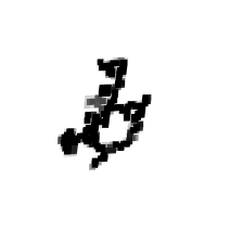 CCCN1CCCCOc2cc(F)cc(c2)CC(C(O)CNCc2cccc(CC)c2)NC(=O)c2cc(cc(-c3ncco3)c2)C1